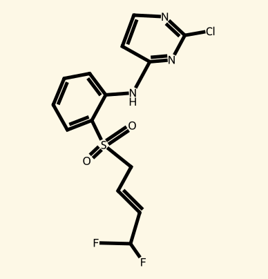 O=S(=O)(CC=CC(F)F)c1ccccc1Nc1ccnc(Cl)n1